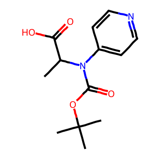 CC(C(=O)O)N(C(=O)OC(C)(C)C)c1ccncc1